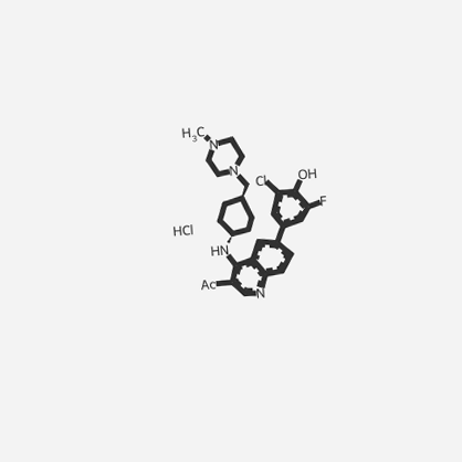 CC(=O)c1cnc2ccc(-c3cc(F)c(O)c(Cl)c3)cc2c1N[C@H]1CC[C@H](CN2CCN(C)CC2)CC1.Cl